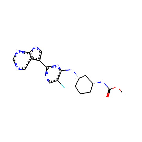 COC(=O)N[C@H]1CCC[C@@H](Nc2nc(-c3c[nH]c4ncncc34)ncc2F)C1